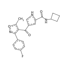 Cc1onc(-c2ccc(F)cc2)c1C(=O)c1c[nH]c(C(=O)NC2CCC2)c1